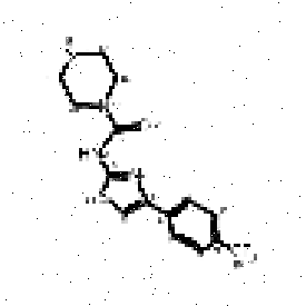 O=C(Nc1nc(-c2ccc(C(F)(F)F)cc2)cs1)N1CCSCC1